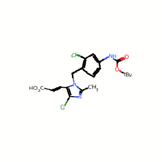 Cc1nc(Cl)c(C=CC(=O)O)n1Cc1ccc(NC(=O)OC(C)(C)C)cc1Cl